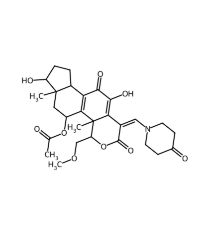 COCC1OC(=O)C(=CN2CCC(=O)CC2)C2=C(O)C(=O)C3=C(C(OC(C)=O)CC4(C)C(O)CCC34)C21C